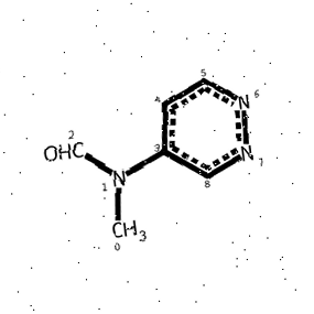 CN(C=O)c1ccnnc1